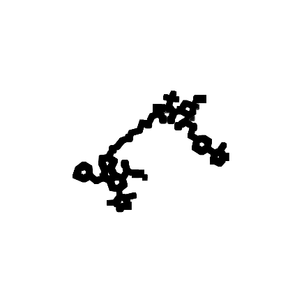 Cc1ncsc1-c1ccc(COC(=O)[C@@H]2C[C@@H](O)CN2C(=O)[C@@H](NC(=O)COCCCOCCOc2ccc3c(c2)c2c(C(N)=O)cc(-c4c(C)noc4C)cc2n3Cc2ccccc2)C(C)(C)C)cc1